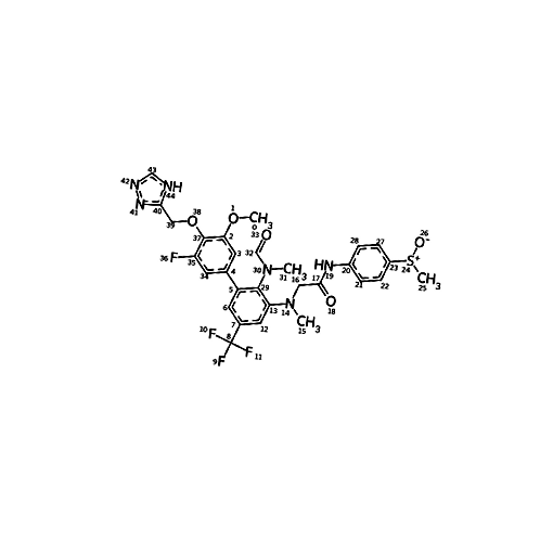 COc1cc(-c2cc(C(F)(F)F)cc(N(C)CC(=O)Nc3ccc([S+](C)[O-])cc3)c2N(C)C=O)cc(F)c1OCc1nnc[nH]1